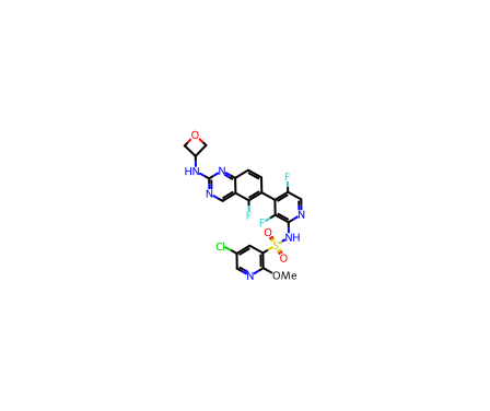 COc1ncc(Cl)cc1S(=O)(=O)Nc1ncc(F)c(-c2ccc3nc(NC4COC4)ncc3c2F)c1F